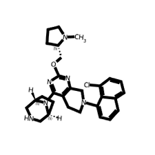 CN1CCC[C@H]1COc1nc2c(c(N3[C@H]4CC[C@H]3CNC4)n1)CCN(c1cccc3cccc(Cl)c13)C2